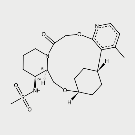 Cc1ccnc2c1[C@H]1CC[C@H](CC1)OC[C@H]1[C@@H](NS(C)(=O)=O)CCCN1C(=O)CO2